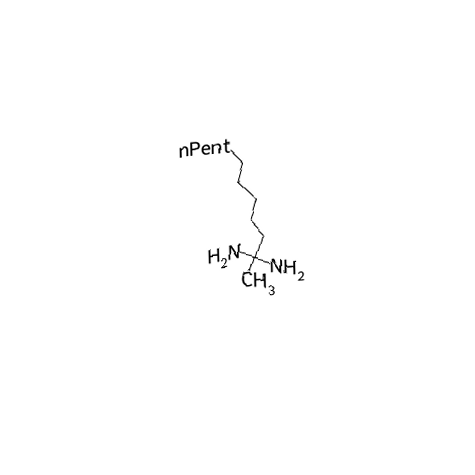 CCCCCCCCCCC(C)(N)N